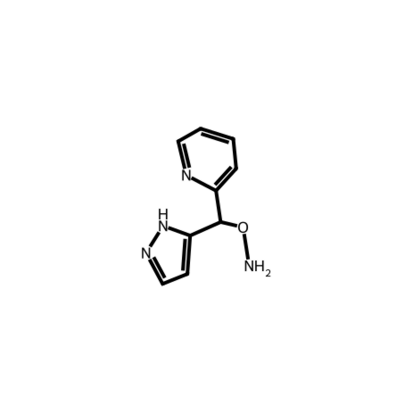 NOC(c1ccccn1)c1ccn[nH]1